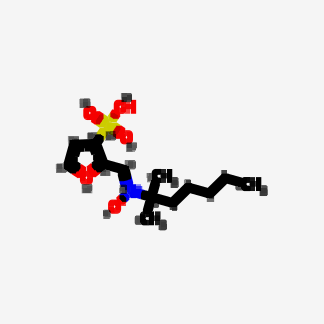 CCCCCC(C)(C)[N+]([O-])=Cc1occc1S(=O)(=O)O